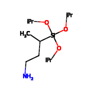 CC(C)O[Si](OC(C)C)(OC(C)C)C(C)CCN